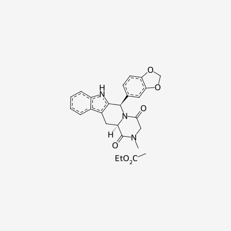 CCOC(C)=O.CN1CC(=O)N2[C@H](c3ccc4c(c3)OCO4)c3[nH]c4ccccc4c3C[C@@H]2C1=O